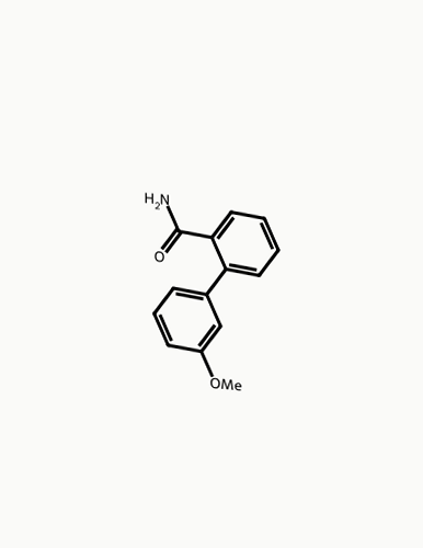 COc1cccc(-c2ccccc2C(N)=O)c1